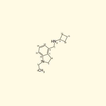 CCN1CCc2c(CNC3CCC3)cccc21